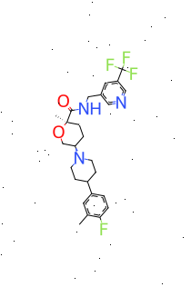 Cc1cc(C2CCN([C@@H]3CC[C@](C)(C(=O)NCc4cncc(C(F)(F)F)c4)OC3)CC2)ccc1F